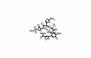 CC(C)(ON=C(C(=O)N[C@@H]1C(=O)N(S(=O)(=O)O)[C@H]1CNC(=O)c1cc(-c2cc(=O)c(O)cn2O)no1)c1csc(N)n1)C(=O)O